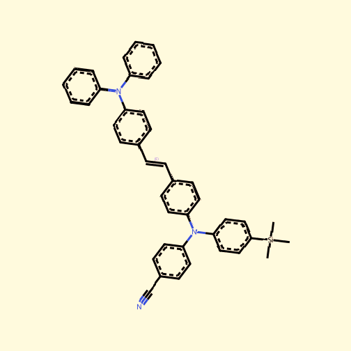 C[Si](C)(C)c1ccc(N(c2ccc(C#N)cc2)c2ccc(/C=C/c3ccc(N(c4ccccc4)c4ccccc4)cc3)cc2)cc1